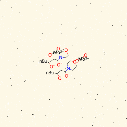 CCCCC([O-])CC([O-])N1CCOCC1.CCCCC([O-])CC([O-])N1CCOCC1.[O]=[Mo+2]=[O].[O]=[Mo+2]=[O]